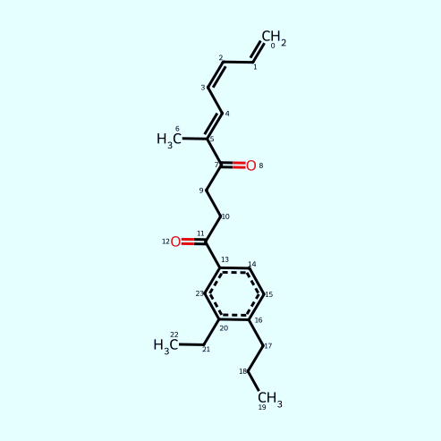 C=C/C=C\C=C(/C)C(=O)CCC(=O)c1ccc(CCC)c(CC)c1